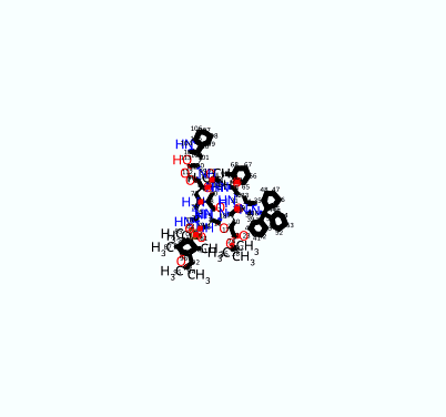 CSCC[C@H](NC(=O)[C@@H](N)COC(C)(C)C)C(=O)N[C@@H](CCC(=O)OC(C)(C)C)C(=O)N[C@@H](Cc1cn(C(c2ccccc2)(c2ccccc2)c2ccccc2)cn1)C(=O)N[C@@H](Cc1ccccc1)C(=O)N[C@@H](CCCNC(=N)NS(=O)(=O)c1c(C)c(C)c2c(c1C)CC(C)(C)O2)C(=O)N[C@@H](Cc1c[nH]c2ccccc12)C(=O)O